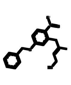 CC(=CCO)Cc1cc(OCc2ccccc2)ccc1[N+](=O)[O-]